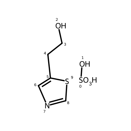 O=S(=O)(O)O.OCCc1cncs1